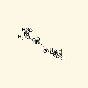 Nc1nnc(-c2ccccc2O)cc1OCCc1ccc(C(=O)NCCCCCCCC(=O)NCc2ccc(S(=O)(=O)Nc3cccc4c(Cl)c[nH]c34)cc2)cc1